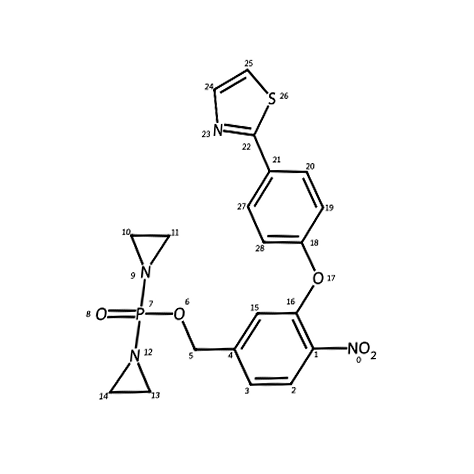 O=[N+]([O-])c1ccc(COP(=O)(N2CC2)N2CC2)cc1Oc1ccc(-c2nccs2)cc1